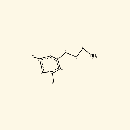 Cc1cc(C)cc(CCCN)c1